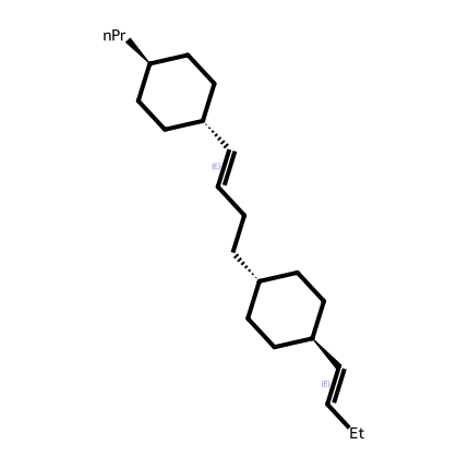 CC/C=C/[C@H]1CC[C@H](CC/C=C/[C@H]2CC[C@H](CCC)CC2)CC1